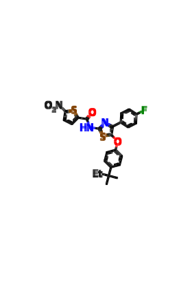 CCC(C)(C)c1ccc(Oc2sc(NC(=O)c3ccc([N+](=O)[O-])s3)nc2-c2ccc(F)cc2)cc1